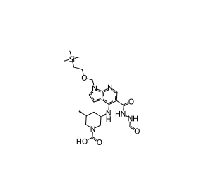 C[C@H]1C[C@@H](Nc2c(C(=O)NNC=O)cnc3c2ccn3COCC[Si](C)(C)C)CN(C(=O)O)C1